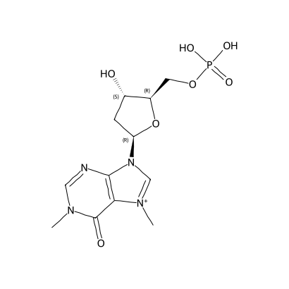 Cn1cnc2c(c1=O)[n+](C)cn2[C@H]1C[C@H](O)[C@@H](COP(=O)(O)O)O1